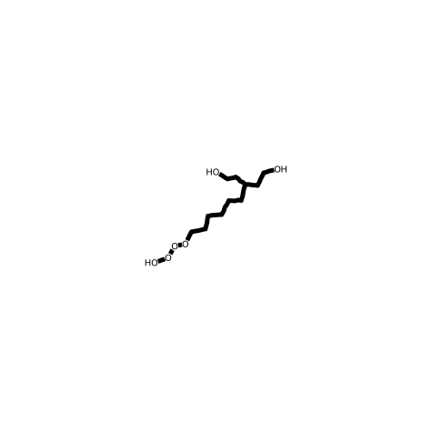 OCCC(CCO)CCCCCCOOOO